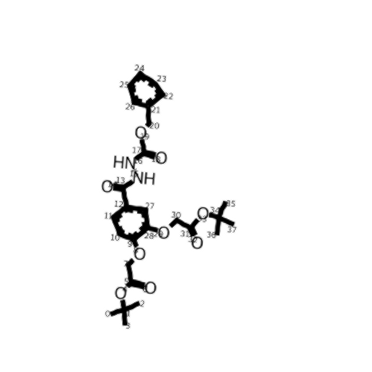 CC(C)(C)OC(=O)COc1ccc(C(=O)NNC(=O)OCc2ccccc2)cc1OCC(=O)OC(C)(C)C